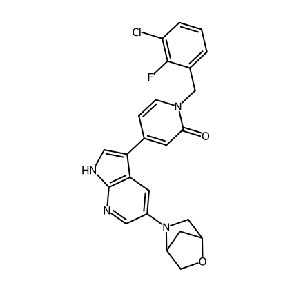 O=c1cc(-c2c[nH]c3ncc(N4CC5CC4CO5)cc23)ccn1Cc1cccc(Cl)c1F